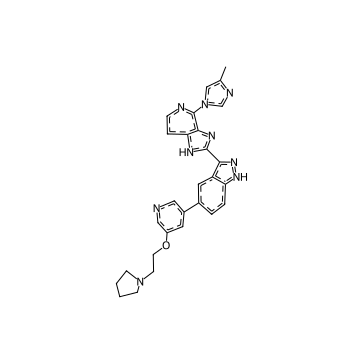 Cc1cn(-c2nccc3[nH]c(-c4n[nH]c5ccc(-c6cncc(OCCN7CCCC7)c6)cc45)nc23)cn1